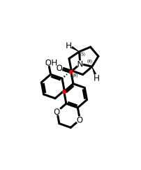 O=C(c1ccc2c(c1)OCCO2)N1[C@@H]2CC[C@H]1C[C@@H](C1=C(O)C=CCC1)C2